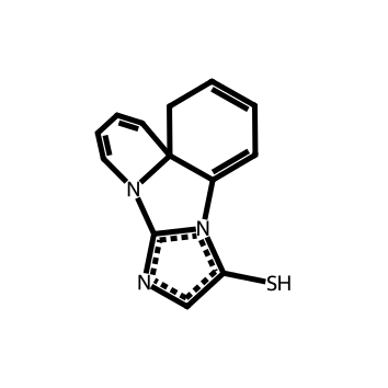 Sc1cnc2n1C1=CC=CCC13C=CC=CN23